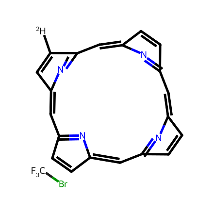 FC(F)(F)Br.[2H]C1=CC2=CC3=NC(=CC4=NC(=CC5=NC(=CC1=N2)C=C5)C=C4)C=C3